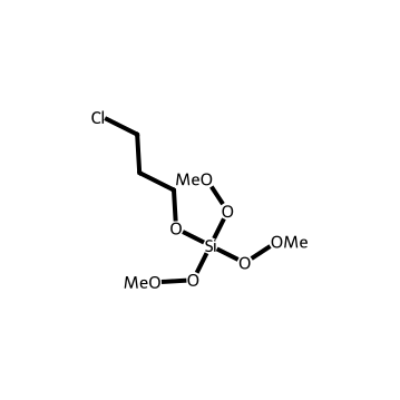 COO[Si](OCCCCl)(OOC)OOC